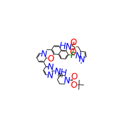 Cc1ccc2c(NS(=O)(=O)Cc3ccn(C)n3)c(F)ccc2c1Oc1ncccc1-c1ccnc(N[C@H]2CCCN(C(=O)OC(C)(C)C)C2)n1